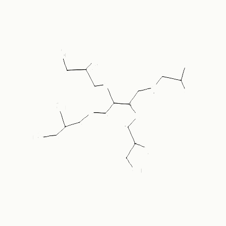 CCC(O)CSCC(SCC(O)CO)C(CSCC(O)CO)SCC(O)CO